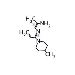 C=C/C(=N\C=C(\C)N)N1CCC(C)CC1